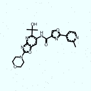 Cc1cc(-c2nc(C(=O)Nc3cc4oc(N5CCOCC5)nc4nc3C(C)(C)O)co2)ccn1